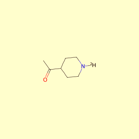 [2H]N1CCC(C(C)=O)CC1